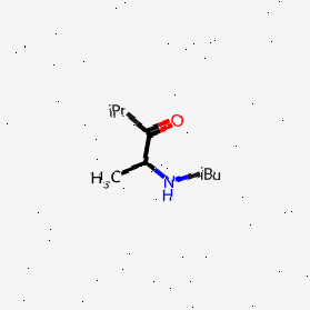 CCC(C)NC(C)C(=O)C(C)C